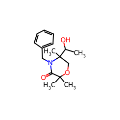 CC(O)C1(C)COC(C)(C)C(=O)N1Cc1ccccc1